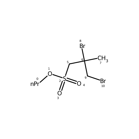 CCCOS(=O)(=O)CC(C)(Br)CBr